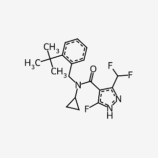 CC(C)(C)c1ccccc1CN(C(=O)c1c(C(F)F)n[nH]c1F)C1CC1